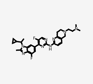 Cc1nc2c(F)cc(-c3nc(Nc4ccc5c(n4)CCN(CCN(C)C)C5)ncc3F)cc2n1C(C)C1CC1